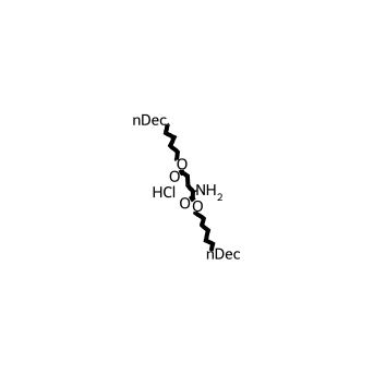 CCCCCCCCCCCCCCCCOC(=O)CC[C@H](N)C(=O)OCCCCCCCCCCCCCCCC.Cl